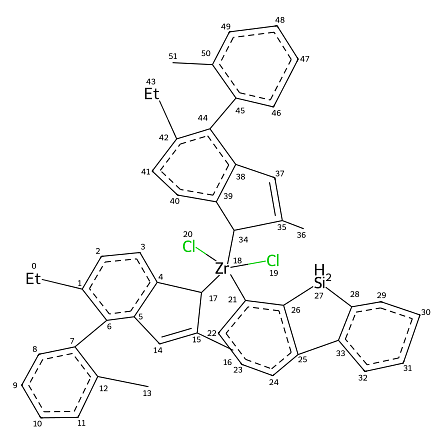 CCc1ccc2c(c1-c1ccccc1C)C=C(C)[CH]2[Zr]([Cl])([Cl])([c]1cccc2c1[SiH2]c1ccccc1-2)[CH]1C(C)=Cc2c1ccc(CC)c2-c1ccccc1C